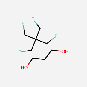 FCC(CF)(CF)CF.OCCCO